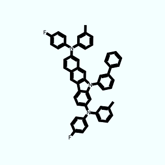 Cc1cccc(N(c2ccc(F)cc2)c2ccc3cc4c5ccc(N(c6ccc(F)cc6)c6cccc(C)c6)cc5n(-c5cccc(-c6ccccc6)c5)c4cc3c2)c1